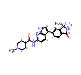 CN1CCC(C(=O)Nc2ccc3c(-c4ccc5c(c4)C(C)(C)NC5=O)c[nH]c3n2)CC1